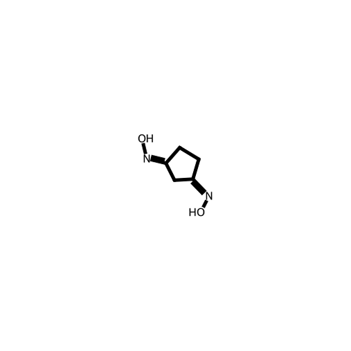 ON=C1CCC(=NO)C1